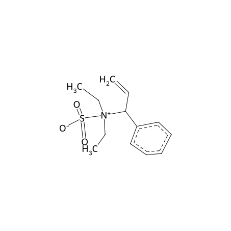 C=CC(c1ccccc1)[N+](CC)(CC)S(=O)(=O)[O-]